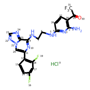 Cl.Nc1nc(NCCNc2nc(-c3ccc(F)cc3F)cn3ncnc23)ccc1C(=O)C(F)(F)F